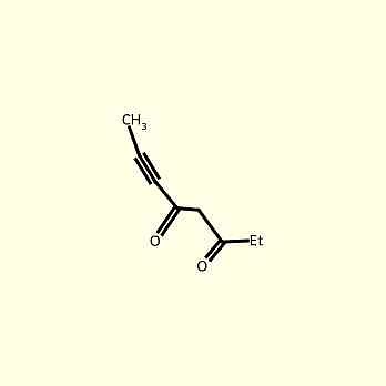 CC#CC(=O)CC(=O)CC